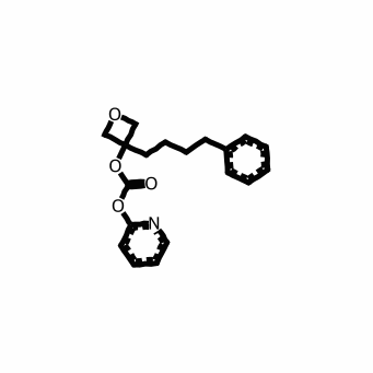 O=C(Oc1ccccn1)OC1(CCCCc2ccccc2)COC1